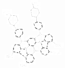 CC1CCC(c2ccc(B3c4cc5c6c7c4-n4c8c3ccc(C(C)(C)C)c8c3c(C(C)(C)C)ccc(c34)B7c3ccc(C(C)(C)C)c4c7c(C(C)(C)C)ccc(c7n-6c34)B5c3ccc(C4CCC(C)CC4)cc3)cc2)CC1